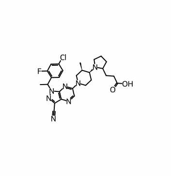 CC(c1ccc(Cl)cc1F)n1nc(C#N)c2ncc(N3CC[C@H](N4CCCC4CCC(=O)O)[C@H](C)C3)nc21